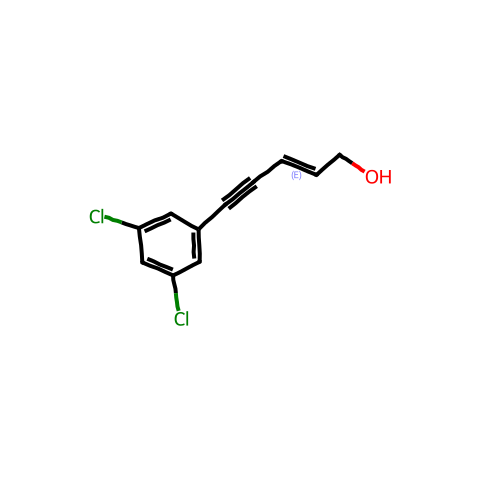 OC/C=C/C#Cc1cc(Cl)cc(Cl)c1